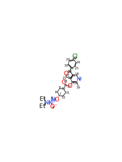 CCN(CC)/[N+]([O-])=N/O[C@H]1CC[C@H](C(=O)Oc2c(C)ncc3c2CO[C@H]3c2ccc(Cl)cc2)CC1